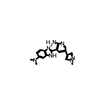 CN(C)c1ccc2nc(-c3cc(-c4cnn(C)c4)cnc3N)[nH]c2c1